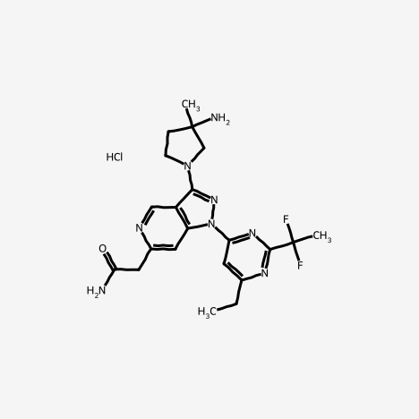 CCc1cc(-n2nc(N3CCC(C)(N)C3)c3cnc(CC(N)=O)cc32)nc(C(C)(F)F)n1.Cl